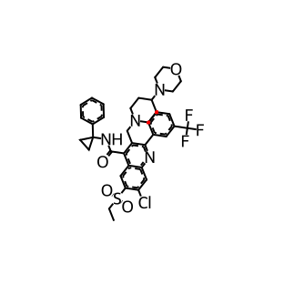 CCS(=O)(=O)c1cc2c(C(=O)NC3(c4ccccc4)CC3)c(CN3CCC(N4CCOCC4)CC3)c(-c3cccc(C(F)(F)F)c3)nc2cc1Cl